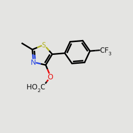 Cc1nc(OC(=O)O)c(-c2ccc(C(F)(F)F)cc2)s1